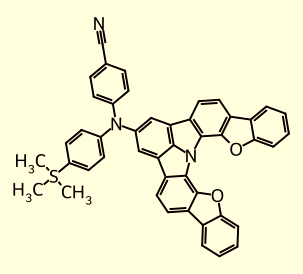 CS(C)(C)c1ccc(N(c2ccc(C#N)cc2)c2cc3c4ccc5c6ccccc6oc5c4n4c3c(c2)c2ccc3c5ccccc5oc3c24)cc1